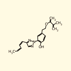 C=C(C)C(=C)OCCc1ccc(O)c(-n2ncc(/C=C\C=C/C)n2)c1